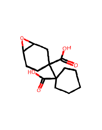 O=C(O)C1(C2(C(=O)O)CCC3OC3C2)CCCCC1